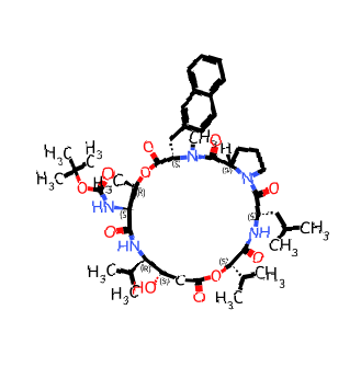 CC(C)C[C@@H]1NC(=O)[C@H](C(C)C)OC(=O)C[C@H](O)[C@@H](C(C)C)NC(=O)[C@@H](NC(=O)OC(C)(C)C)[C@@H](C)OC(=O)[C@H](Cc2ccc3ccccc3c2)N(C)C(=O)[C@@H]2CCCN2C1=O